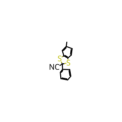 Cc1ccc2c(c1)SC(C#N)(c1ccccc1)S2